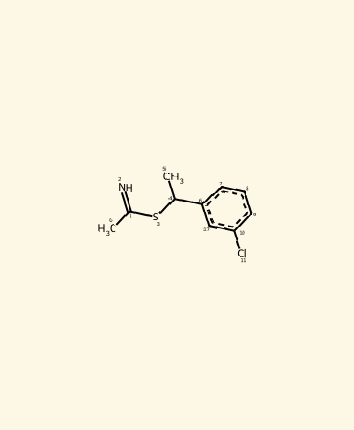 CC(=N)SC(C)c1cccc(Cl)c1